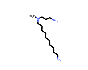 NCCCCCCCCCCN(CCCN)C(=O)O